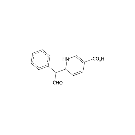 O=CC(c1ccccc1)C1C=CC(C(=O)O)=CN1